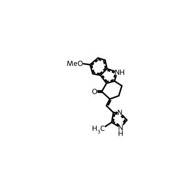 COc1ccc2[nH]c3c(c2c1)C(=O)C(=Cc1nc[nH]c1C)CC3